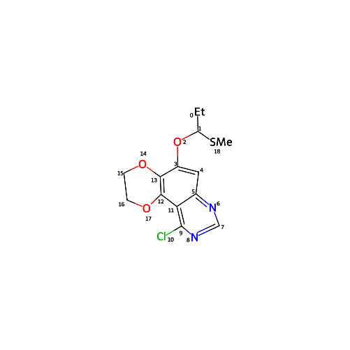 CCC(Oc1cc2ncnc(Cl)c2c2c1OCCO2)SC